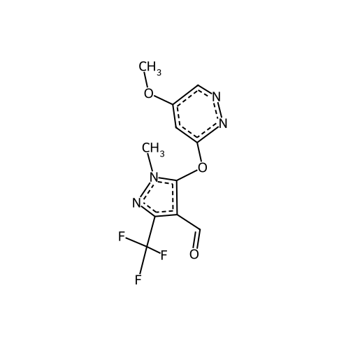 COc1cnnc(Oc2c(C=O)c(C(F)(F)F)nn2C)c1